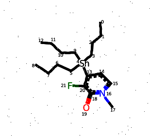 CCC[CH2][Sn]([CH2]CCC)([CH2]CCC)[c]1ccn(C)c(=O)c1F